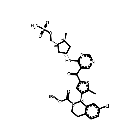 Cc1sc(C(=O)c2cncnc2N[C@@H]2C[C@H](COS(N)(=O)=O)[C@@H](C)C2)cc1[C@H]1c2cc(Cl)ccc2CCN1C(=O)OC(C)(C)C